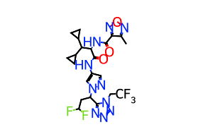 Cc1nonc1C(=O)N[C@H](C(=O)Nc1cnn(C(CC(F)F)c2nnnn2CC(F)(F)F)c1)C(C1CC1)C1CC1